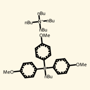 CCCC[B-](c1ccc(OC)cc1)(c1ccc(OC)cc1)c1ccc(OC)cc1.CCCC[N+](CCCC)(CCCC)CCCC